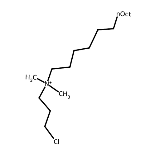 CCCCCCCCCCCCCC[N+](C)(C)CCCCl